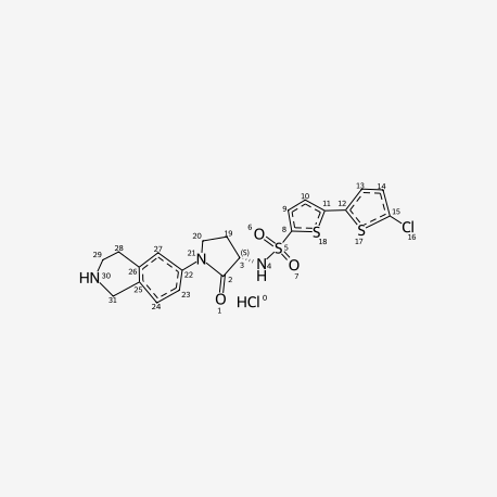 Cl.O=C1[C@@H](NS(=O)(=O)c2ccc(-c3ccc(Cl)s3)s2)CCN1c1ccc2c(c1)CCNC2